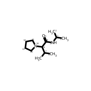 CC(C)NC(=O)C(C(C)C)N1CCCC1